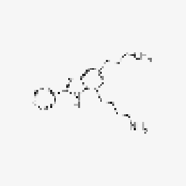 CCCCc1cc(CCCCN)c2[nH]c(-c3ccccc3)cc2c1